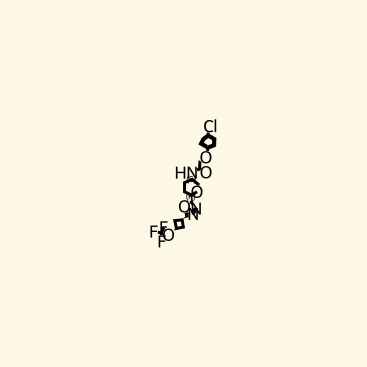 O=C(COc1ccc(Cl)cc1)N[C@H]1CC[C@H](c2nnc([C@H]3C[C@@H](OC(F)(F)F)C3)o2)OC1